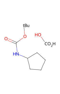 CC(C)(C)OC(=O)NC1CCCC1.O=C(O)O